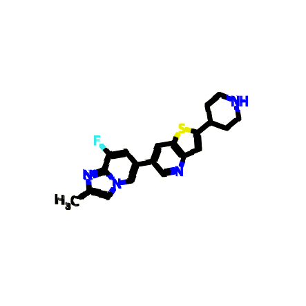 Cc1cn2cc(-c3cnc4cc(C5CCNCC5)sc4c3)cc(F)c2n1